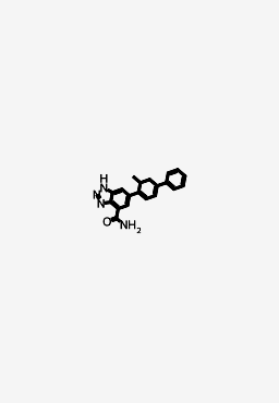 CC1CC(c2ccccc2)=CC=C1c1cc(C(N)=O)c2nn[nH]c2c1